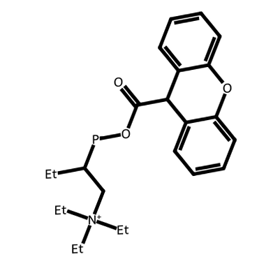 CCC(C[N+](CC)(CC)CC)[P-]OC(=O)C1c2ccccc2Oc2ccccc21